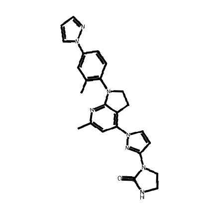 Cc1cc(-n2ccc(N3CCNC3=O)n2)c2c(n1)N(c1ccc(-n3cccn3)cc1C)CC2